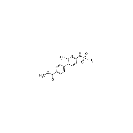 COC(=O)c1ccc(-c2ccc(NS(C)(=O)=O)nc2C)cc1